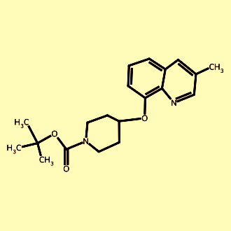 Cc1cnc2c(OC3CCN(C(=O)OC(C)(C)C)CC3)cccc2c1